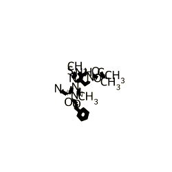 CSc1nc2c(c(N3C[C@H](CC#N)N(C(=O)OCc4ccccc4)[C@@H](C)C3)n1)CCN(C(=O)OC(C)(C)C)C2